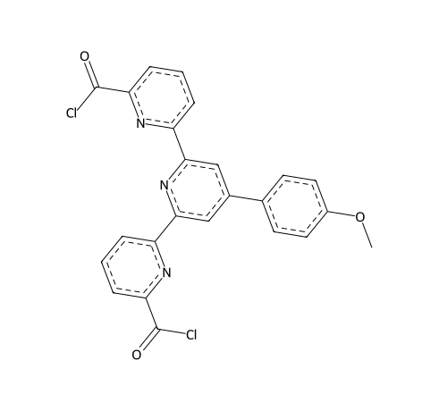 COc1ccc(-c2cc(-c3cccc(C(=O)Cl)n3)nc(-c3cccc(C(=O)Cl)n3)c2)cc1